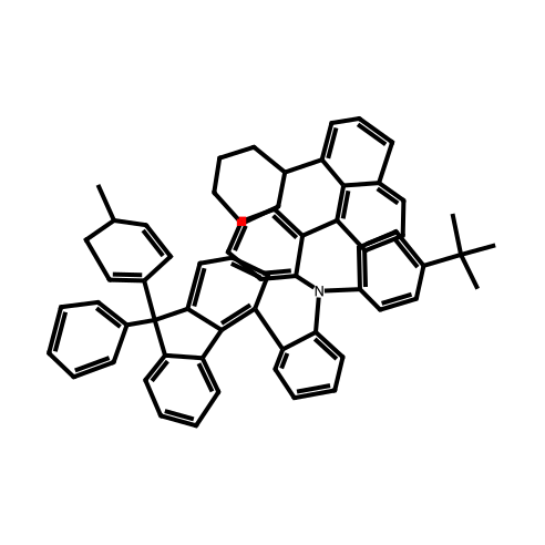 CC1C=CC(C2(c3ccccc3)c3ccccc3-c3c(-c4ccccc4N(c4ccc(C(C)(C)C)cc4)c4ccccc4-c4cccc5cccc(C6CCCCC6)c45)cccc32)=CC1